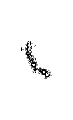 C=CC(=O)Nc1cc2c(o1)CN(S(=O)(=O)c1ccc(C(=O)NCc3ccc4c(c3)CCCO4)cc1)C2